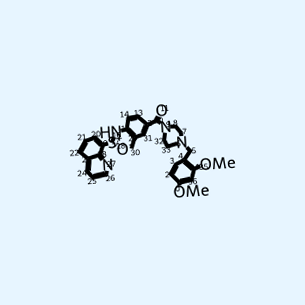 COc1ccc(CN2CCN(C(=O)c3ccc(N[S+]([O-])c4cccc5cccnc45)c(C)c3)CC2)c(OC)c1